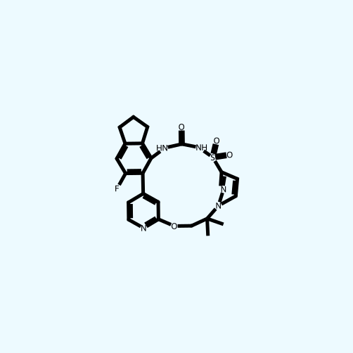 CC1(C)COc2cc(ccn2)-c2c(F)cc3c(c2NC(=O)NS(=O)(=O)c2ccn1n2)CCC3